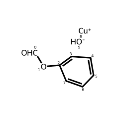 O=COc1ccccc1.[Cu+].[OH-]